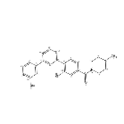 CC1CCN(C(=O)c2ccc(-c3ncnc(-c4ccnc(C(C)(C)C)c4)n3)c(Cl)c2)CC1